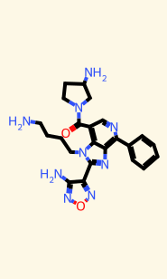 NCCCCn1c(-c2nonc2N)nc2c(-c3ccccc3)ncc(C(=O)N3CCC(N)C3)c21